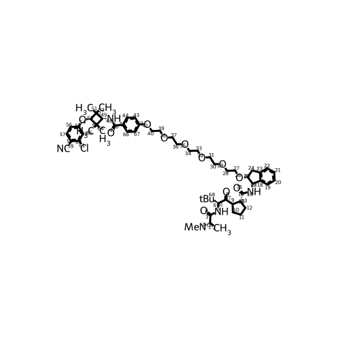 CN[C@@H](C)C(=O)N[C@H](C(=O)C1CCC[C@H]1C(=O)N[C@H]1c2ccccc2C[C@H]1OCCOCCOCCOCCOCCOc1ccc(C(=O)N[C@H]2C(C)(C)[C@H](Oc3ccc(C#N)c(Cl)c3)C2(C)C)cc1)C(C)(C)C